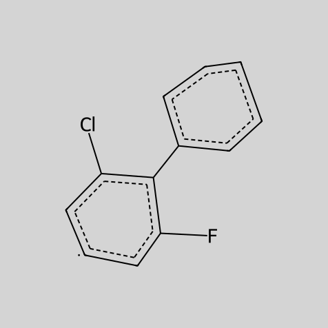 Fc1c[c]cc(Cl)c1-c1ccccc1